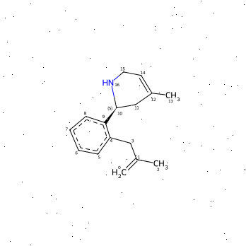 C=C(C)Cc1ccccc1[C@@H]1CC(C)=CCN1